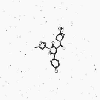 Cn1cc(-n2nc(-c3ccc(Cl)cc3)cc(C(=O)N3CC4CC3CC4O)c2=O)cn1